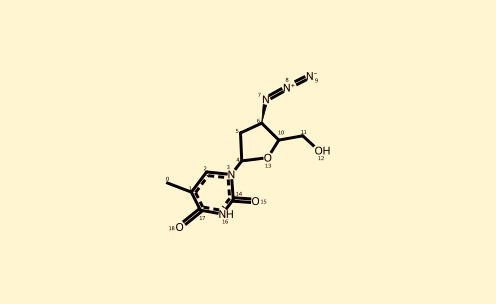 Cc1cn(C2C[C@@H](N=[N+]=[N-])C(CO)O2)c(=O)[nH]c1=O